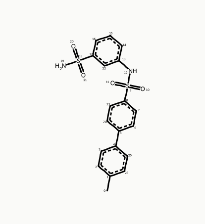 Cc1ccc(-c2ccc(S(=O)(=O)Nc3cccc(S(N)(=O)=O)c3)cc2)cc1